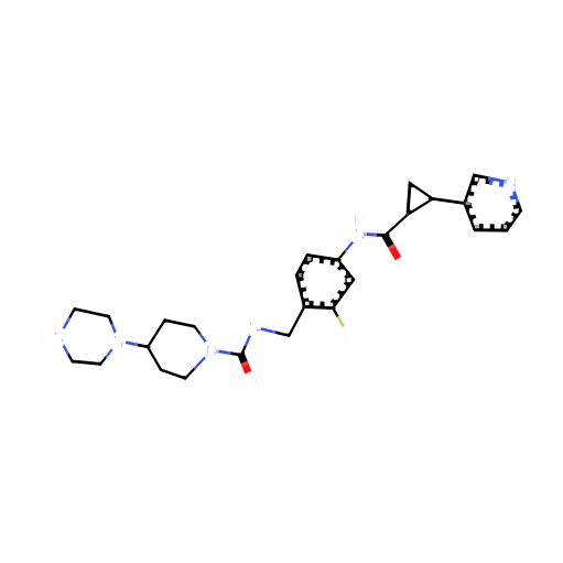 O=C(Nc1ccc(CNC(=O)N2CCC(N3CCNCC3)CC2)c(F)c1)C1CC1c1cccnc1